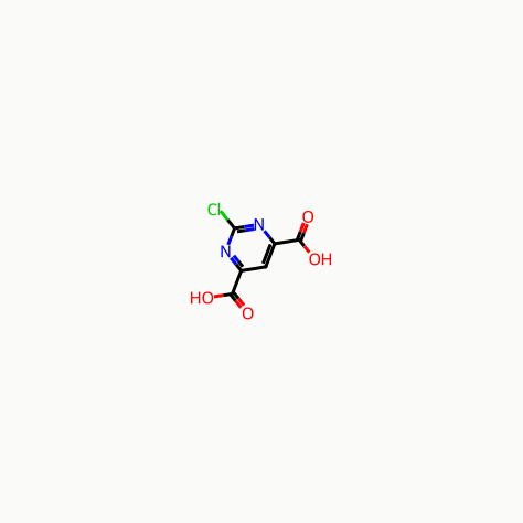 O=C(O)c1cc(C(=O)O)nc(Cl)n1